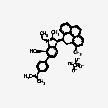 C#Cc1c(-c2ccc(N(C)C)cc2)ccc2c1[N+](CC)=C(C)S2=C1Cc2c(C)ccc3ccc4cccc1c4c23.[O-][Cl+3]([O-])([O-])[O-]